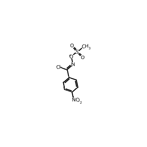 CS(=O)(=O)O/N=C(\Cl)c1ccc([N+](=O)[O-])cc1